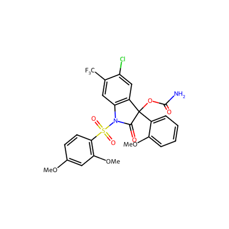 COc1ccc(S(=O)(=O)N2C(=O)C(OC(N)=O)(c3ccccc3OC)c3cc(Cl)c(C(F)(F)F)cc32)c(OC)c1